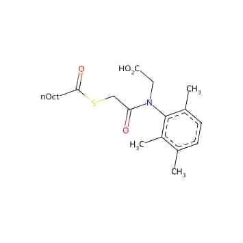 CCCCCCCCC(=O)SCC(=O)N(CC(=O)O)c1c(C)ccc(C)c1C